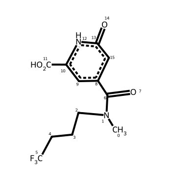 CN(CCCC(F)(F)F)C(=O)c1cc(C(=O)O)[nH]c(=O)c1